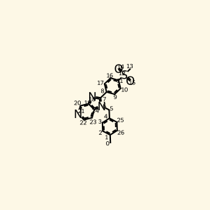 Cc1ccc(Cn2c(-c3ccc(S(C)(=O)=O)cc3)nc3cnccc32)cc1